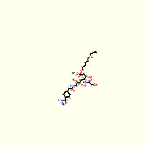 C#CCOCCCCCCO[C@]1(C(=O)O)C[C@H](O)[C@@H](NC(=O)CO)[C@H]([C@H](O)[C@H](O)CNC(=O)Cc2ccc(-c3nnn[nH]3)cc2)O1